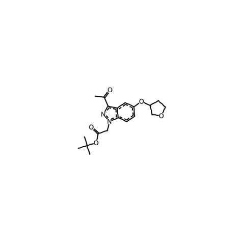 CC(=O)c1nn(CC(=O)OC(C)(C)C)c2ccc(OC3CCOC3)cc12